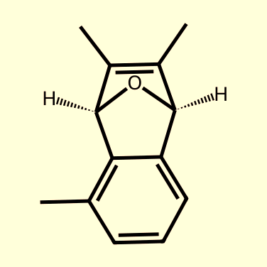 CC1=C(C)[C@@H]2O[C@H]1c1c(C)cccc12